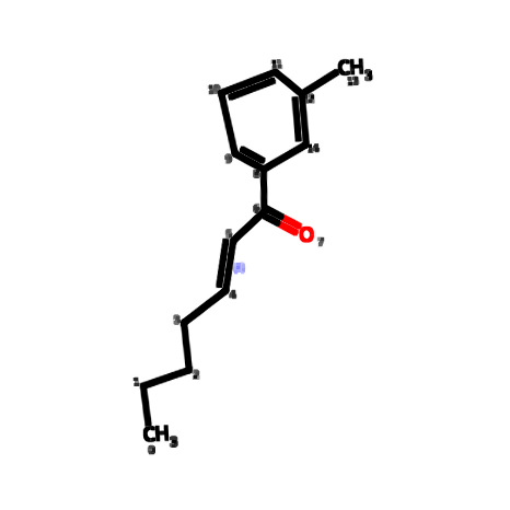 CCCC/C=C/C(=O)c1cccc(C)c1